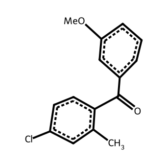 COc1cccc(C(=O)c2ccc(Cl)cc2C)c1